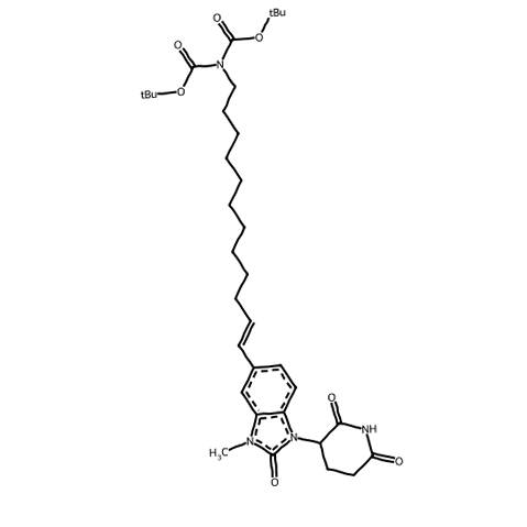 Cn1c(=O)n(C2CCC(=O)NC2=O)c2ccc(C=CCCCCCCCCCCN(C(=O)OC(C)(C)C)C(=O)OC(C)(C)C)cc21